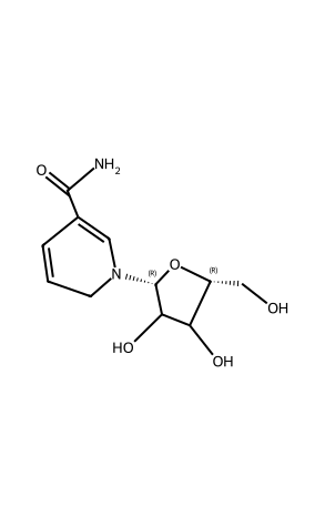 NC(=O)C1=CN([C@@H]2O[C@H](CO)C(O)C2O)CC=C1